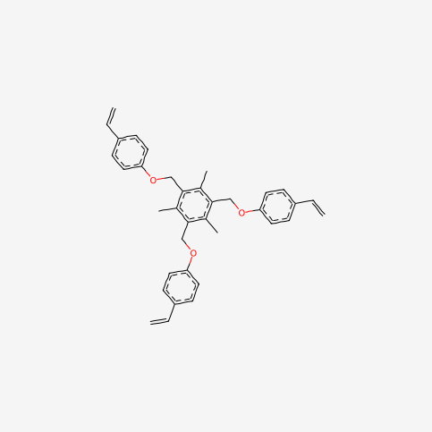 C=Cc1ccc(OCc2c(C)c(COc3ccc(C=C)cc3)c(C)c(COc3ccc(C=C)cc3)c2C)cc1